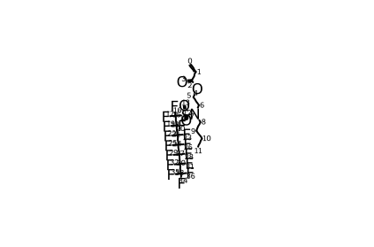 C=CC(=O)OCCN(CCCC)S(=O)(=O)C(F)(F)C(F)(F)C(F)(F)C(F)(F)C(F)(F)C(F)(F)C(F)(F)F